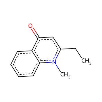 CCc1cc(=O)c2ccccc2n1C